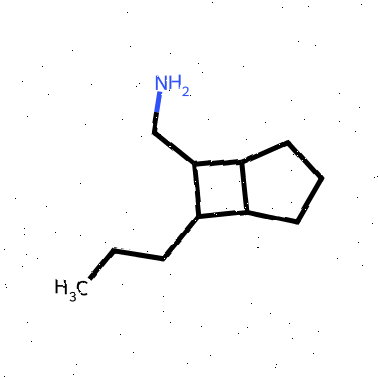 CCCC1C(CN)C2CCCC12